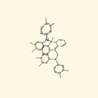 Cc1ccc(C(CC2=C3C=CC=CC3C(C)(N(c3ccc(C)c(C)c3)c3ccc(C)c(C)c3)c3ccccc32)c2ccc(C)c(C)c2)cc1C